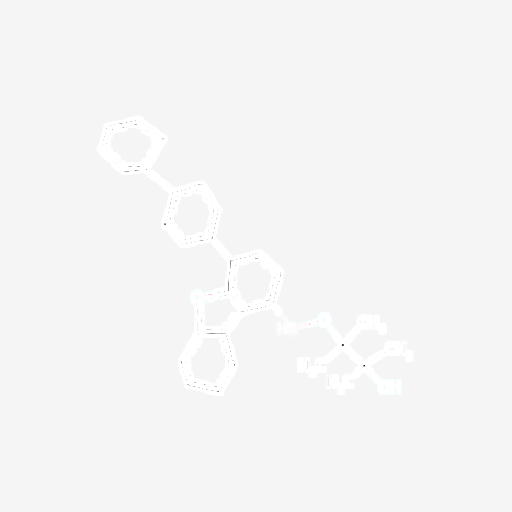 CC(C)(O)C(C)(C)OBc1ccc(-c2ccc(-c3ccccc3)cc2)c2oc3ccccc3c12